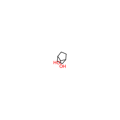 OC1(O)C2CCC1CC2